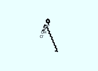 CC(C)CCCCCCCCCCCCCCCC1=[N+](Cc2ccccc2)CCN1CCO.[Cl-]